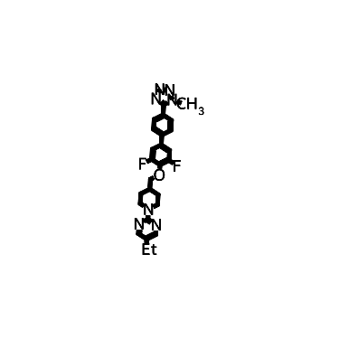 CCc1cnc(N2CCC(COc3c(F)cc(-c4ccc(-c5nnnn5C)cc4)cc3F)CC2)nc1